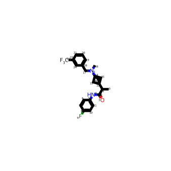 CC(C(=O)Nc1ccc(F)cc1)C12CC(N(C)Cc3cccc(C(F)(F)F)c3)(C1)C2